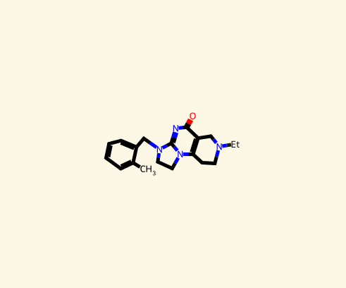 CCN1CCc2c(c(=O)nc3n2CCN3Cc2ccccc2C)C1